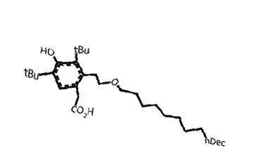 CCCCCCCCCCCCCCCCCCOCCc1c(CC(=O)O)cc(C(C)(C)C)c(O)c1C(C)(C)C